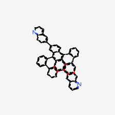 c1ccc(-c2ccccc2-c2c3ccc(-c4ccc5ncccc5c4)cc3c(-c3ccccc3-c3ccccc3)c3ccc(-c4ccc5ncccc5c4)cc23)cc1